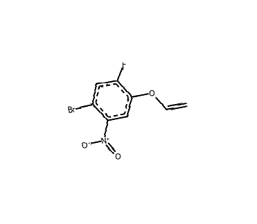 C=COc1cc([N+](=O)[O-])c(Br)cc1F